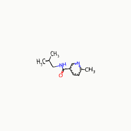 Cc1ccc(C(=O)NCC(C)C)cn1